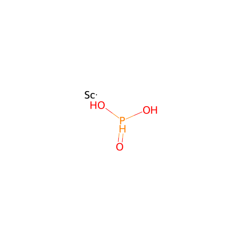 O=[PH](O)O.[Sc]